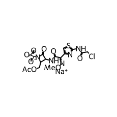 CON=C(C(=O)NC1C(=O)N(S(=O)(=O)[O-])C1COC(C)=O)c1csc(NC(=O)CCl)n1.[Na+]